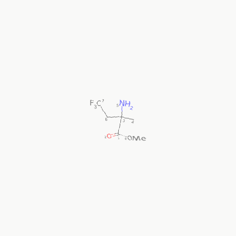 COC(=O)C(C)(N)CC(F)(F)F